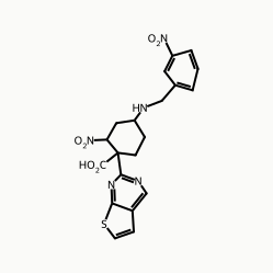 O=C(O)C1(c2ncc3ccsc3n2)CCC(NCc2cccc([N+](=O)[O-])c2)CC1[N+](=O)[O-]